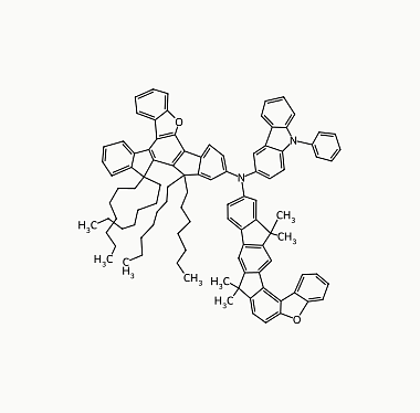 CCCCCCCC1(CCCCCCC)c2cc(N(c3ccc4c(c3)C(C)(C)c3cc5c(cc3-4)C(C)(C)c3ccc4oc6ccccc6c4c3-5)c3ccc4c(c3)c3ccccc3n4-c3ccccc3)ccc2-c2c1c1c(c3c2oc2ccccc23)-c2ccccc2C1(CCCCCCC)CCCCCCC